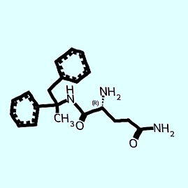 CC(Cc1ccccc1)(NC(=O)[C@H](N)CCC(N)=O)c1ccccc1